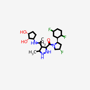 CC1NNC(C(=O)N2C[C@@H](F)C[C@@H]2C2CC(F)CCC2F)C1C(C)N[C@@H]1CC[C@@H](O)[C@H]1O